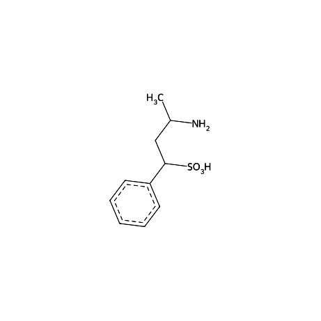 CC(N)CC(c1ccccc1)S(=O)(=O)O